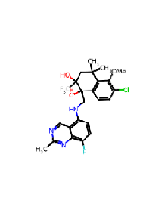 COc1c(Cl)ccc2c1C(C)(C)CC(O)(C(F)(F)F)C2(O)CNc1ccc(F)c2nc(C)ncc12